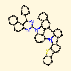 c1ccc(-c2nc(-n3c4cccc5c4c4c(cc6ccccc6c43)c3cccc4c6ccc7c8ccccc8sc7c6n5c34)nc3ccc4ccccc4c23)cc1